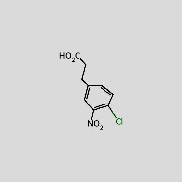 O=C(O)CCc1ccc(Cl)c([N+](=O)[O-])c1